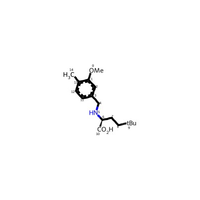 COc1cc(CN[C@@H](CCC(C)(C)C)C(=O)O)ccc1C